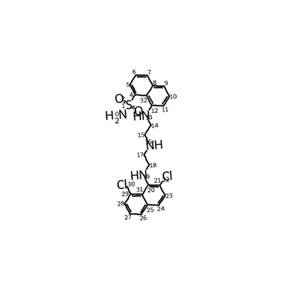 NS(=O)(=O)c1cccc2cccc(NCCNCCNc3c(Cl)ccc4cccc(Cl)c34)c12